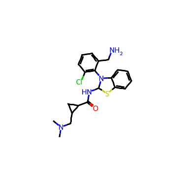 CN(C)CC1CC1C(=O)NC1Sc2ccccc2N1c1c(Cl)cccc1CN